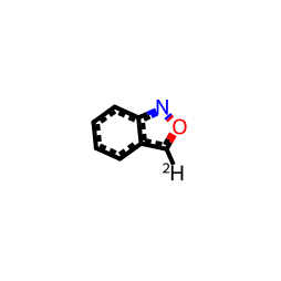 [2H]c1onc2ccccc12